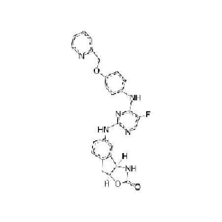 O=C1N[C@@H]2c3cc(Nc4ncc(F)c(Nc5ccc(OCc6ccccn6)cc5)n4)ccc3C[C@@H]2O1